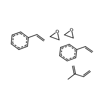 C1CO1.C1CO1.C=CC(=C)C.C=Cc1ccccc1.C=Cc1ccccc1